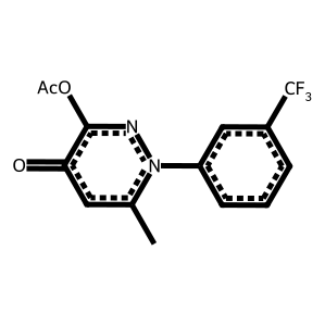 CC(=O)Oc1nn(-c2cccc(C(F)(F)F)c2)c(C)cc1=O